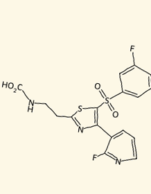 O=C(O)NCCc1nc(-c2cccnc2F)c(S(=O)(=O)c2cccc(F)c2)s1